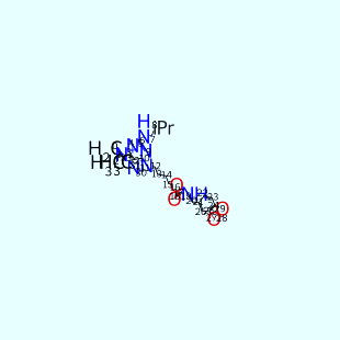 C=[N+](C)C1=NC(NCC(C)C)=NC2N(CCCCOC(=O)NCc3ccc4c(c3)OCO4)C=NC12C